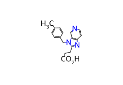 Cc1ccc(Cn2c(CCC(=O)O)nc3ccncc32)cc1